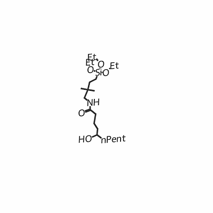 CCCCCC(O)CCCC(=O)NCC(C)(C)CC[Si](OCC)(OCC)OCC